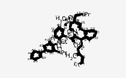 C=C(/C=C\CC)CCC1c2ccccc2-c2cc(CC(C)C)c([Si](C)(C)C)c[n+]2C1C(=C)[N+](C)(CC)c1ccccc1Nc1c(C(C)C)cc(-c2ccccc2)cc1C(C)C